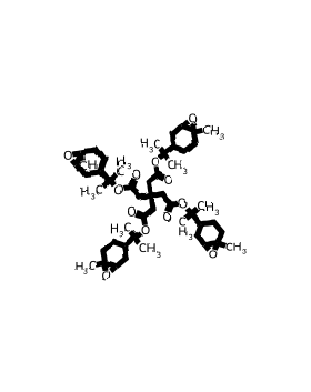 CC(C)(OC(=O)CC(CC(=O)OC(C)(C)C1CCC2(C)OC2C1)(CC(=O)OC(C)(C)C1CCC2(C)OC2C1)CC(=O)OC(C)(C)C1CCC2(C)OC2C1)C1CCC2(C)OC2C1